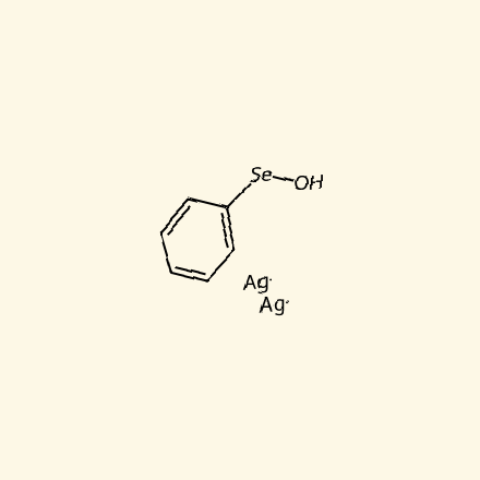 O[Se]c1ccccc1.[Ag].[Ag]